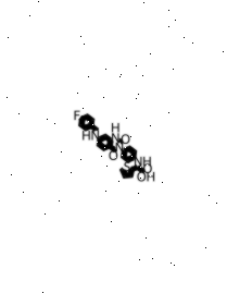 O=C(O)C(Nc1ccc(-n2c(=O)[nH]c3cc(NCc4ccc(F)cc4)ccc3c2=O)cc1)c1cccs1